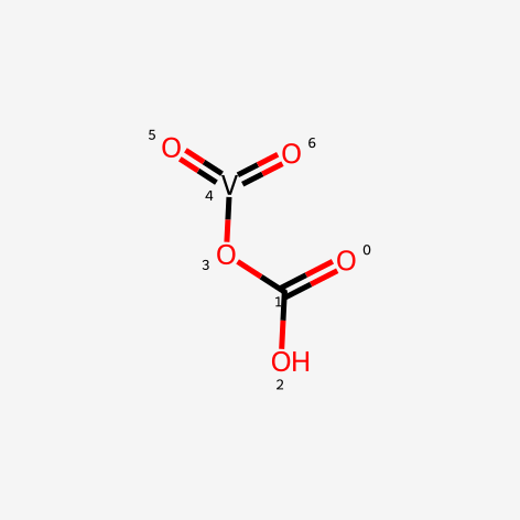 O=C(O)[O][V](=[O])=[O]